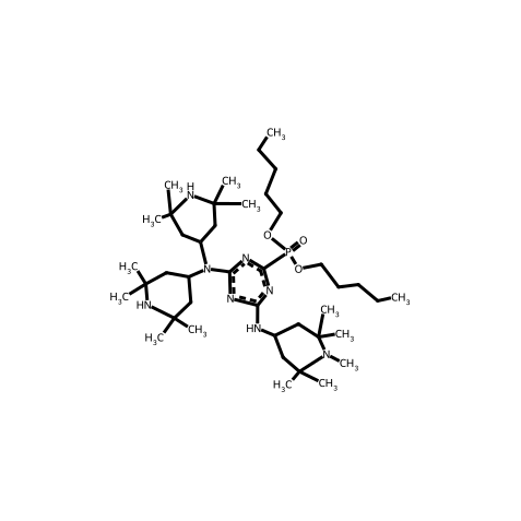 CCCCCOP(=O)(OCCCCC)c1nc(NC2CC(C)(C)N(C)C(C)(C)C2)nc(N(C2CC(C)(C)NC(C)(C)C2)C2CC(C)(C)NC(C)(C)C2)n1